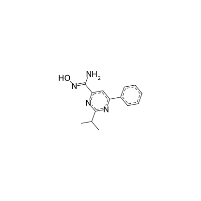 CC(C)c1nc(C(N)=NO)cc(-c2ccccc2)n1